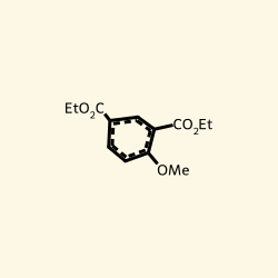 [CH2]Oc1ccc(C(=O)OCC)cc1C(=O)OCC